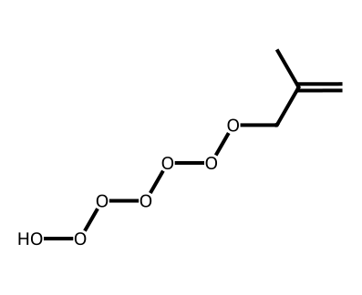 C=C(C)COOOOOOO